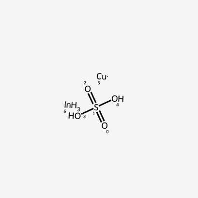 O=S(=O)(O)O.[Cu].[InH3]